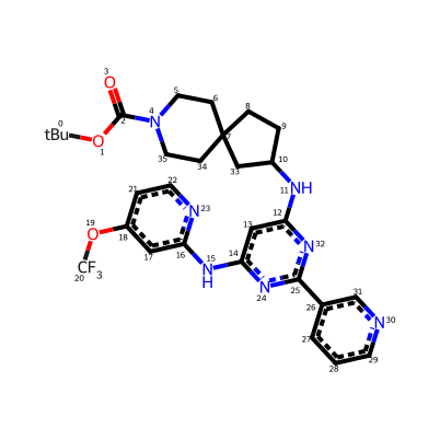 CC(C)(C)OC(=O)N1CCC2(CCC(Nc3cc(Nc4cc(OC(F)(F)F)ccn4)nc(-c4cccnc4)n3)C2)CC1